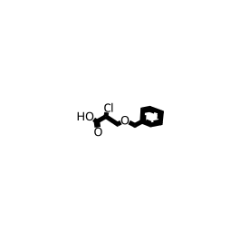 O=C(O)C(Cl)COCc1ccccc1